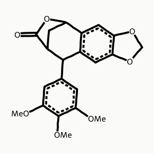 COc1cc(C2c3cc4c(cc3C3CC2C(=O)O3)OCO4)cc(OC)c1OC